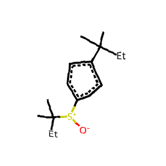 CCC(C)(C)c1ccc([S+]([O-])C(C)(C)CC)cc1